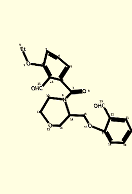 CCOc1cccc(C(=O)N2CCOCC2COc2ccccc2C=O)c1C=O